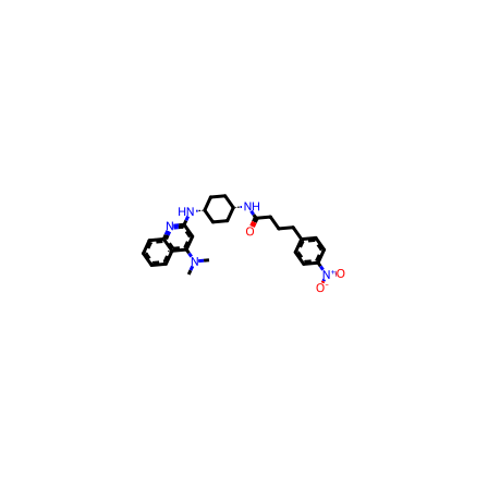 CN(C)c1cc(N[C@H]2CC[C@@H](NC(=O)CCCc3ccc([N+](=O)[O-])cc3)CC2)nc2ccccc12